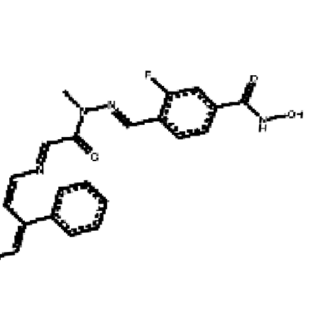 C\C=C(/C=C\N=C\C(=O)N(C)/N=C/c1ccc(C(=O)NO)cc1F)c1ccccc1